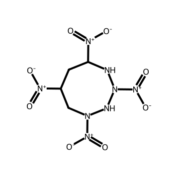 O=[N+]([O-])C1CC([N+](=O)[O-])NN([N+](=O)[O-])NN([N+](=O)[O-])C1